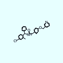 Cc1cc(Cl)ccc1C(NC(=O)Cc1ccc(OCc2cccnc2)cc1)c1ccccc1